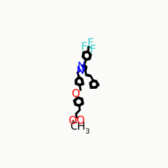 COC(=O)CCc1ccc(OCc2ccc(Cn3nc(-c4ccc(C(F)(F)F)cc4)cc3C=Cc3ccccc3)cc2)cc1